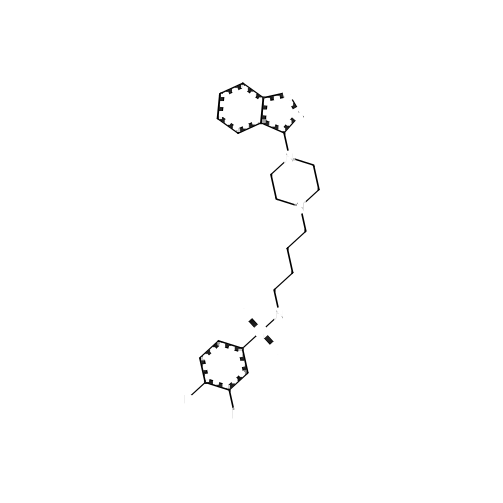 O=S(=O)(NCCCCN1CCN(c2nsc3ccccc23)CC1)c1ccc(F)c(F)c1